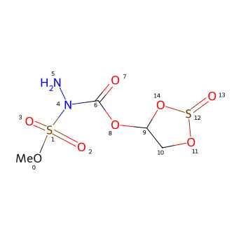 COS(=O)(=O)N(N)C(=O)OC1COS(=O)O1